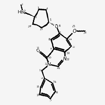 CN[C@H]1CC[C@H](Oc2cc3c(=O)n(Cc4ccccc4)cnc3cc2OC)CC1